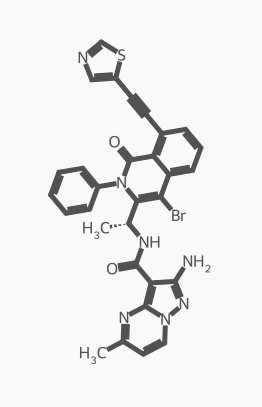 Cc1ccn2nc(N)c(C(=O)N[C@H](C)c3c(Br)c4cccc(C#Cc5cncs5)c4c(=O)n3-c3ccccc3)c2n1